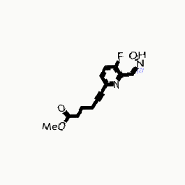 COC(=O)CCCC#Cc1ccc(F)c(/C=N\O)n1